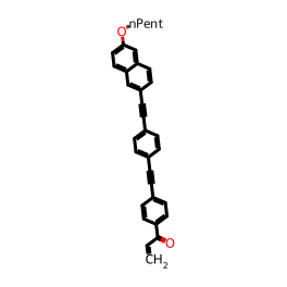 C=CC(=O)c1ccc(C#Cc2ccc(C#Cc3ccc4cc(OCCCCC)ccc4c3)cc2)cc1